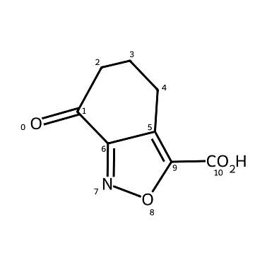 O=C1CCCc2c1noc2C(=O)O